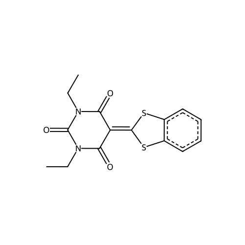 CCN1C(=O)C(=C2Sc3ccccc3S2)C(=O)N(CC)C1=O